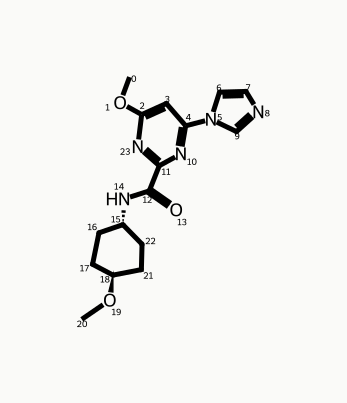 COc1cc(-n2ccnc2)nc(C(=O)N[C@H]2CC[C@H](OC)CC2)n1